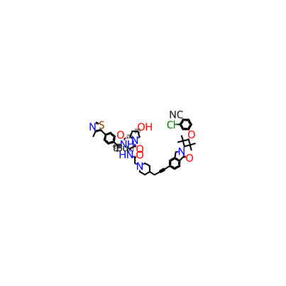 Cc1ncsc1-c1ccc([C@H](C)NC(=O)[C@@H]2C[C@@H](O)CN2C(=O)[C@@H](NC(=O)CN2CCC(CC#Cc3ccc4c(c3)CN(C3C(C)(C)C(Oc5ccc(C#N)c(Cl)c5)C3(C)C)C4=O)CC2)C(C)(C)C)cc1